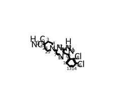 CC1(C#N)CCN(c2cnc3c(-c4cccc(Cl)c4Cl)n[nH]c3n2)CC1